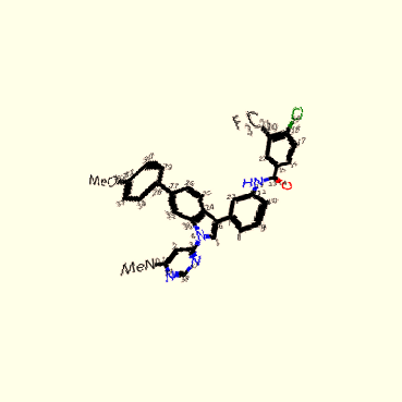 CNc1cc(-n2cc(-c3cccc(NC(=O)c4ccc(Cl)c(C(F)(F)F)c4)c3)c3ccc(-c4ccc(OC)cc4)cc32)ncn1